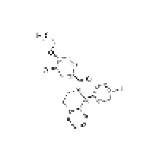 CCO[C@H]1CO[C@@H](C(=O)N2CCc3ccccc3[C@@H]2c2ccc(F)cc2)CC1=O